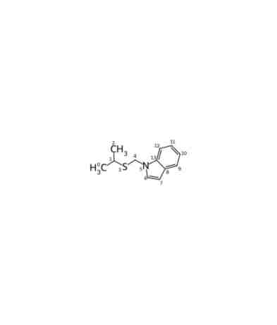 CC(C)SCn1ccc2ccccc21